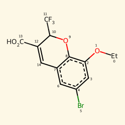 CCOc1cc(Br)cc2c1OC(C(F)(F)F)C(C(=O)O)=C2